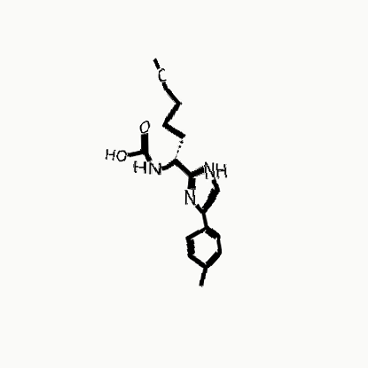 CCCCCC[C@@H](NC(=O)O)c1nc(-c2ccc(C)cc2)c[nH]1